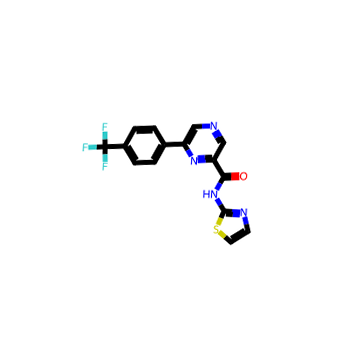 O=C(Nc1nccs1)c1cncc(-c2ccc(C(F)(F)F)cc2)n1